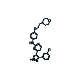 Clc1cccc(-c2n[nH]cc2-c2ccnc(Nc3ccc(OCCN4CCOCC4)cc3)n2)c1